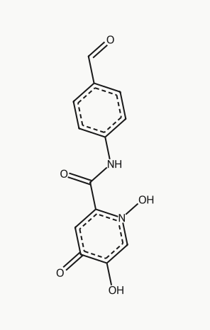 O=Cc1ccc(NC(=O)c2cc(=O)c(O)cn2O)cc1